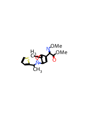 CON=C(C(=O)OC)c1cc2cc(C)c1ON2C(C)c1cccs1